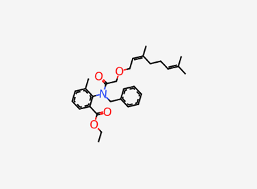 CCOC(=O)c1cccc(C)c1N(Cc1ccccc1)C(=O)COCC=C(C)CCC=C(C)C